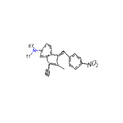 C#CC1=C(C)C(=Cc2ccc([N+](=O)[O-])cc2)c2ccc(N(CC)CC)cc21